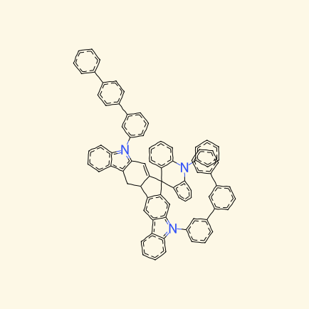 C1=C2C(Cc3c1n(-c1cccc(-c4ccc(-c5ccccc5)cc4)c1)c1ccccc31)c1cc3c4ccccc4n(-c4cccc(-c5cccc(-c6ccccc6)c5)c4)c3cc1C21c2ccccc2N(c2ccccc2)c2ccccc21